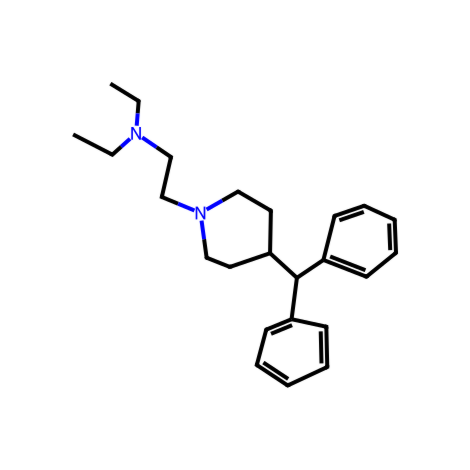 CCN(CC)CCN1CCC(C(c2ccccc2)c2ccccc2)CC1